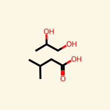 CC(C)CC(=O)O.CC(O)CO